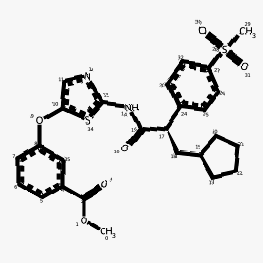 COC(=O)c1cccc(Oc2cnc(NC(=O)[C@H](CC3CCCC3)c3ccc(S(C)(=O)=O)cc3)s2)c1